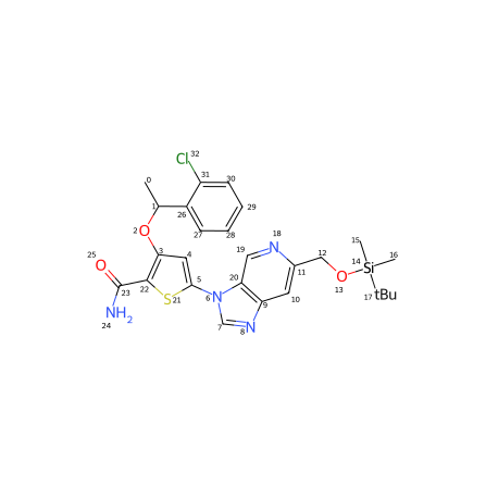 CC(Oc1cc(-n2cnc3cc(CO[Si](C)(C)C(C)(C)C)ncc32)sc1C(N)=O)c1ccccc1Cl